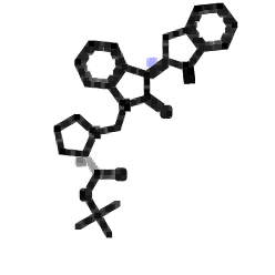 CC(C)(C)OC(=O)[C@@H]1CCCN1CN1C(=O)/C(=C2/Cc3ccccc3N2)c2ccccc21